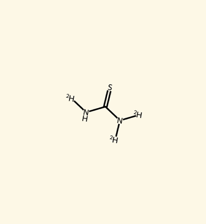 [2H]NC(=S)N([2H])[2H]